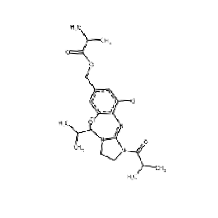 CC(C)C(=O)OCc1cc(Cl)c(N=C2N(C(=O)C(C)C)CCN2C(=O)C(C)C)c(Cl)c1